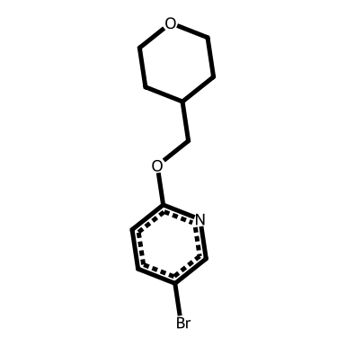 Brc1ccc(OCC2CCOCC2)nc1